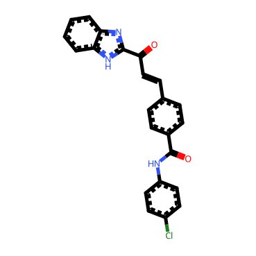 O=C(Nc1ccc(Cl)cc1)c1ccc(C=CC(=O)c2nc3ccccc3[nH]2)cc1